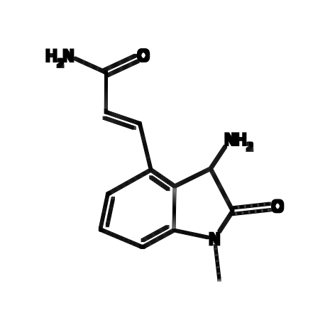 CN1C(=O)C(N)c2c(C=CC(N)=O)cccc21